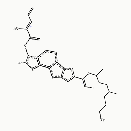 C=C/C=C(\CCC)C(=C)Sc1c(C)sc2c1ccc1c3sc(/C(=C/C)SC(C)CCC(C)CCCC(C)C)cc3sc12